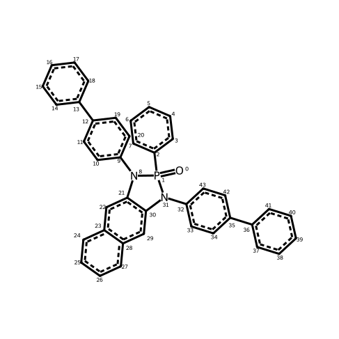 O=P1(c2ccccc2)N(c2ccc(-c3ccccc3)cc2)c2cc3ccccc3cc2N1c1ccc(-c2ccccc2)cc1